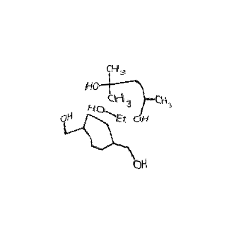 CC(O)CC(C)(C)O.CCO.OCC1CCC(CO)CC1